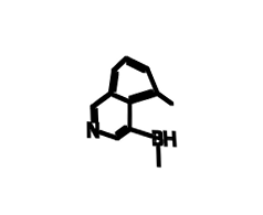 CBc1cncc2cccc(C)c12